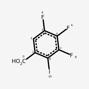 O=C(O)c1cc(F)c(F)c(F)c1I